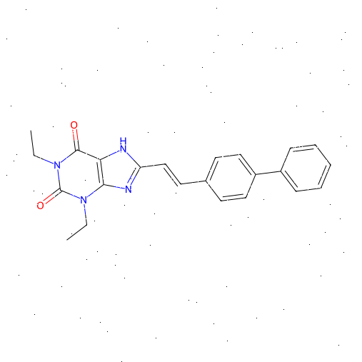 CCn1c(=O)c2[nH]c(/C=C/c3ccc(-c4ccccc4)cc3)nc2n(CC)c1=O